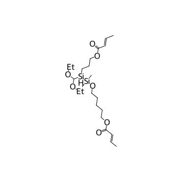 CC=CC(=O)OCCCCCO[Si](C)(C)[SiH](CCCOC(=O)C=CC)C(OCC)OCC